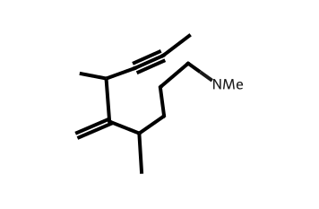 C=C(C(C)C#CC)C(C)CCCNC